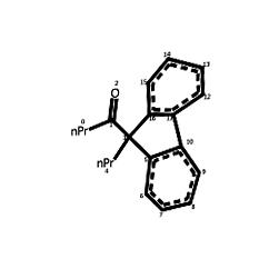 CCCC(=O)C1(CCC)c2ccccc2-c2ccccc21